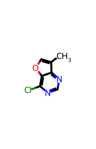 Cc1coc2c(Cl)ncnc12